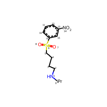 CC(C)NCCCCS(=O)(=O)c1cc[c]c([N+](=O)[O-])c1